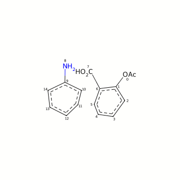 CC(=O)Oc1ccccc1C(=O)O.Nc1ccccc1